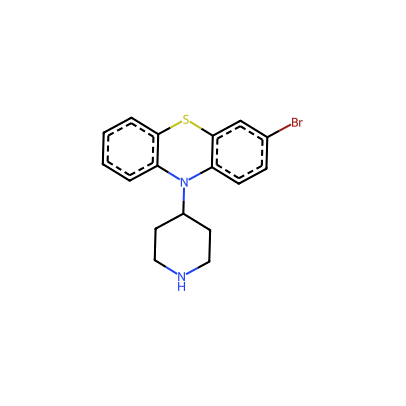 Brc1ccc2c(c1)Sc1ccccc1N2C1CCNCC1